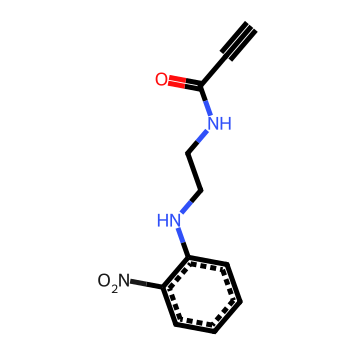 C#CC(=O)NCCNc1ccccc1[N+](=O)[O-]